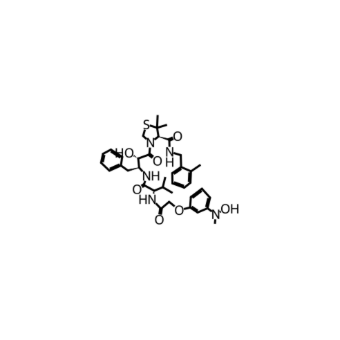 Cc1ccccc1CNC(=O)[C@H]1N(C(=O)[C@@H](O)[C@H](Cc2ccccc2)NC(=O)[C@@H](NC(=O)COc2cccc(N(C)O)c2)C(C)C)CSC1(C)C